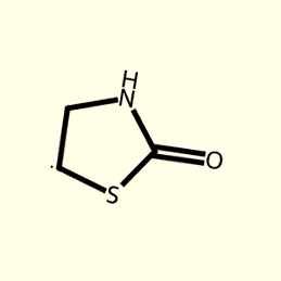 O=C1NC[CH]S1